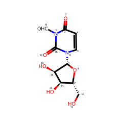 O=Cn1c(=O)ccn([C@@H]2O[C@H](CO)[C@@H](O)[C@H]2O)c1=O